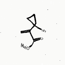 C=C(C(=O)OC)C1(CCC)CC1